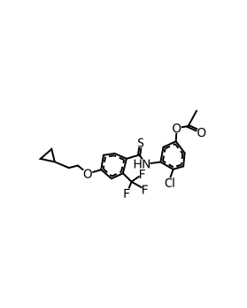 CC(=O)Oc1ccc(Cl)c(NC(=S)c2ccc(OCCC3CC3)cc2C(F)(F)F)c1